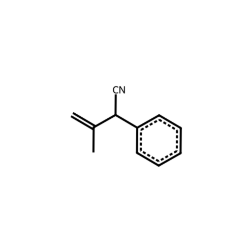 C=C(C)C(C#N)c1ccccc1